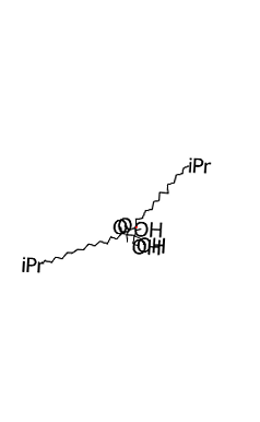 CC(C)CCCCCCCCCCCCCCC(=O)C(C)(C(=O)CCCCCCCCCCCCCCC(C)C)C(CO)(CO)CO